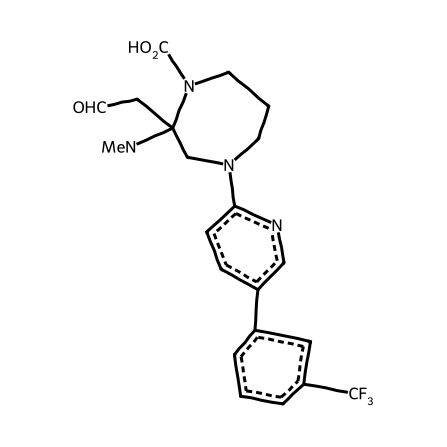 CNC1(CC=O)CN(c2ccc(-c3cccc(C(F)(F)F)c3)cn2)CCCN1C(=O)O